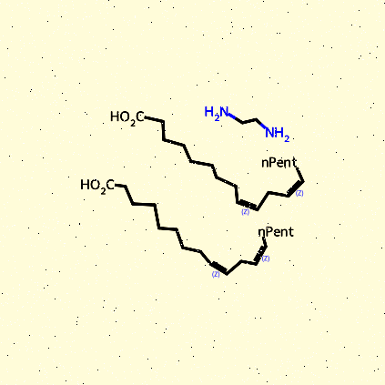 CCCCC/C=C\C/C=C\CCCCCCCC(=O)O.CCCCC/C=C\C/C=C\CCCCCCCC(=O)O.NCCN